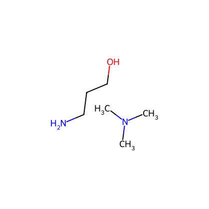 CN(C)C.NCCCO